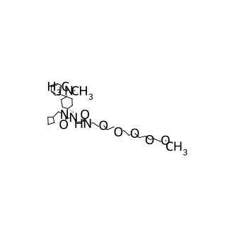 COCCOCCOCCOCCOCCNC(=O)CN1C[C@]2(CC[C@@](c3ccccc3)(N(C)C)CC2)N(CC2CCC2)C1=O